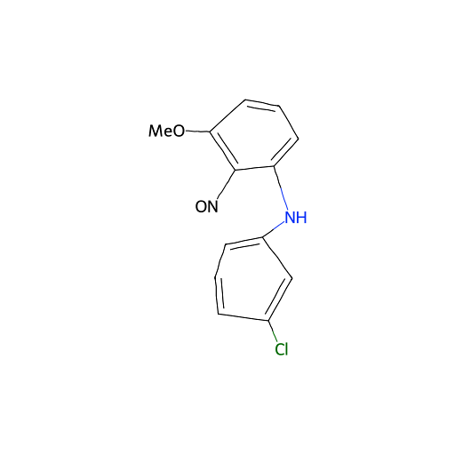 COc1cccc(Nc2cccc(Cl)c2)c1N=O